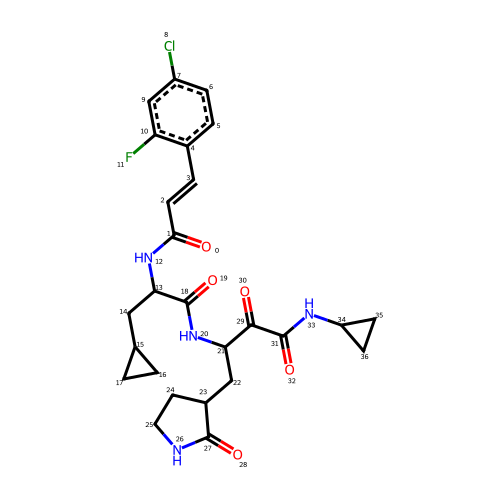 O=C(/C=C/c1ccc(Cl)cc1F)NC(CC1CC1)C(=O)NC(CC1CCNC1=O)C(=O)C(=O)NC1CC1